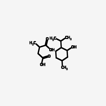 CC(CC(=O)O)C(=O)O.CC1CCC(C(C)C)C(O)C1